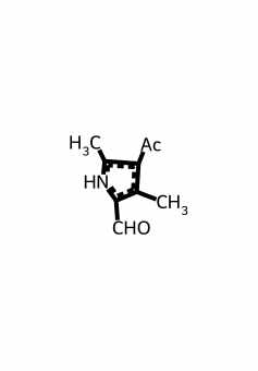 CC(=O)c1c(C)[nH]c(C=O)c1C